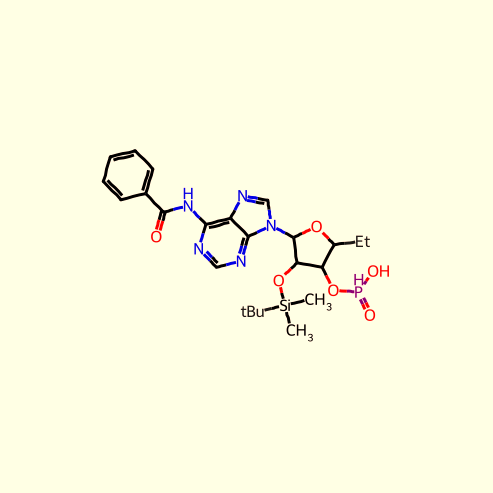 CCC1OC(n2cnc3c(NC(=O)c4ccccc4)ncnc32)C(O[Si](C)(C)C(C)(C)C)C1O[PH](=O)O